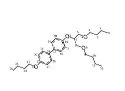 CCCCOCC(COCCCC)Oc1ccc(-c2ccc(OCCCC)cc2)cc1